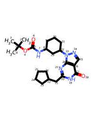 CC(C)(C)OC(=O)NC1CCCC(n2ncc3c(=O)[nH]c(CC4CCCC4)nc32)C1